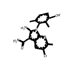 Cc1ccc(O)c(C)c1-n1c(N)c(C(N)=O)c2cc(Cl)c(C)nc21